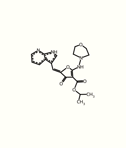 CC(C)OC(=O)C1=C(NN2CCOCC2)OC(=Cc2c[nH]c3ncccc23)C1=O